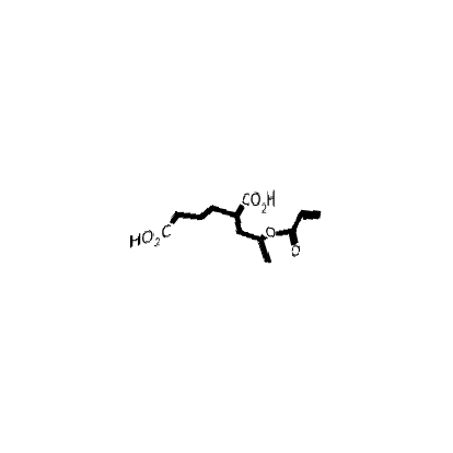 C=CC(=O)OC(C)CC(CCCC(=O)O)C(=O)O